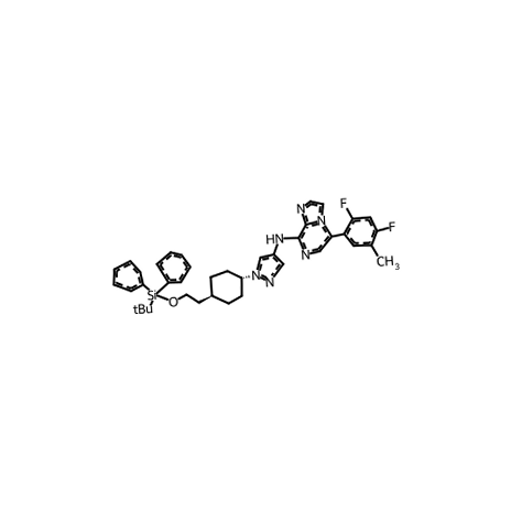 Cc1cc(-c2cnc(Nc3cnn([C@H]4CC[C@H](CCO[Si](c5ccccc5)(c5ccccc5)C(C)(C)C)CC4)c3)c3nccn23)c(F)cc1F